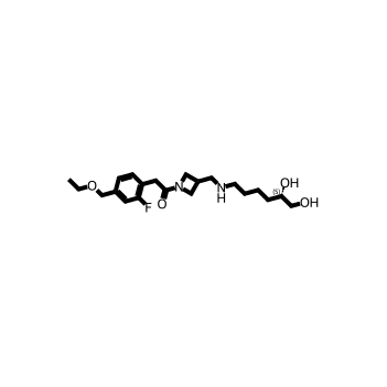 CCOCc1ccc(CC(=O)N2CC(CNCCCC[C@H](O)CO)C2)c(F)c1